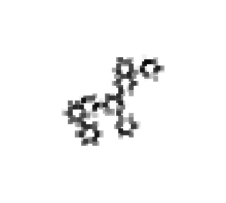 c1ccc(-c2nc(-c3ccc4c(-c5ccccc5)cccc4c3)nc(-c3ccc4cccc(-c5ccccc5)c4c3)n2)cc1